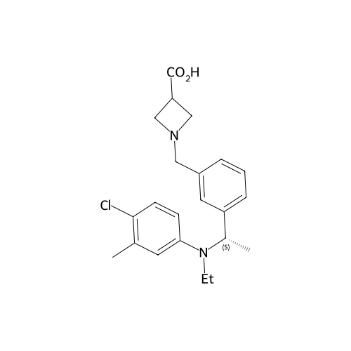 CCN(c1ccc(Cl)c(C)c1)[C@@H](C)c1cccc(CN2CC(C(=O)O)C2)c1